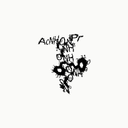 CC(=O)NCC[C@H](NC(=O)N(C)C(C)C)C(=O)N[C@@H](CCC(NC(=O)OCc1cncs1)c1ccccc1)Cc1ccccc1